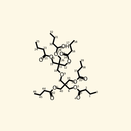 CCCC(=O)OCC(COCC(COC(=O)CCC)(COC(=O)CCC)COC(O)CCC)(COC(=O)CCC)COC(=O)CCC